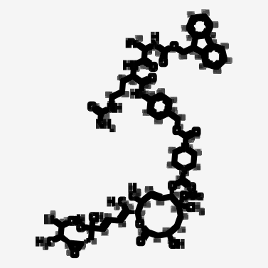 CCC(O)C(C)[C@@H]1O[C@H]1CC(C)(O)/C=C/C=C(\C)[C@H]1OC(=O)C[C@H](O)CC[C@@](C)(OC)[C@@H](OC(=O)N2CCN(C(=O)OCc3ccc(NC(=O)C(CCCNC(N)=O)NC(=O)C(NC(=O)OCC4c5ccccc5-c5ccccc54)C(C)C)cc3)CC2)/C=C/[C@@H]1C